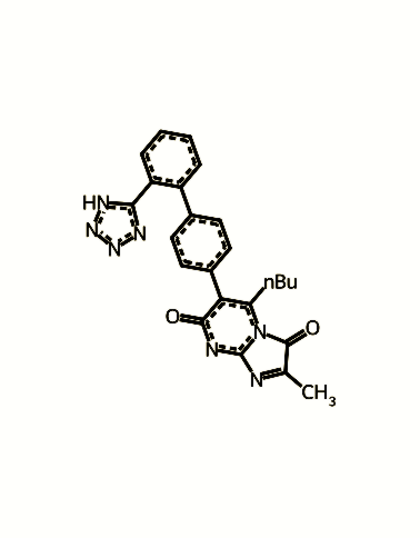 CCCCc1c(-c2ccc(-c3ccccc3-c3nnn[nH]3)cc2)c(=O)nc2n1C(=O)C(C)=N2